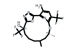 CC1CCC[C@](O)(C(F)(F)F)c2nnc(o2)-c2nc(c(C(F)(F)F)cc2N)O[C@H](C)C1